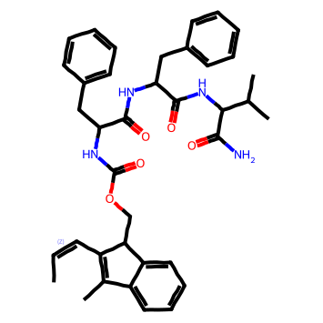 C/C=C\C1=C(C)c2ccccc2C1COC(=O)NC(Cc1ccccc1)C(=O)NC(Cc1ccccc1)C(=O)NC(C(N)=O)C(C)C